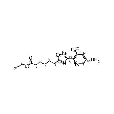 CCOC(=O)CCCCCc1nc(-c2ncc(N)cc2Cl)no1